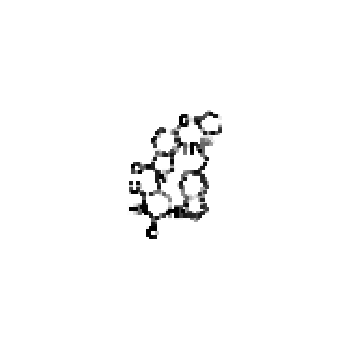 O=C1CCC(N2Cc3cc(O[C@@H]4CCC[C@@H]4NCc4ccc5[nH]ccc5c4)ccc3C2=O)C(=O)N1